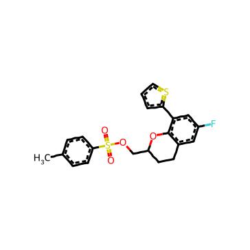 Cc1ccc(S(=O)(=O)OCC2CCc3cc(F)cc(-c4cccs4)c3O2)cc1